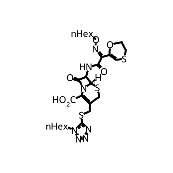 CCCCCCON=C(C(=O)NC1C(=O)N2C(C(=O)O)=C(CSc3nnnn3CCCCCC)CS[C@@H]12)C1=CSCCO1